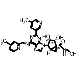 CCNC(=O)[C@]12C[C@@H]1C(n1cnc3c(NCc4cc(C)ccn4)nc(-c4cncc(C)c4)nc31)[C@H](O)[C@@H]2O